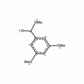 COc1cc(OC)cc(C([O])OC)c1